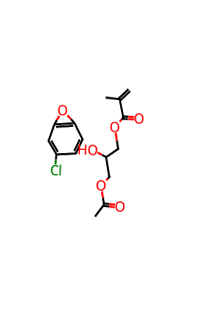 C=C(C)C(=O)OCC(O)COC(C)=O.Clc1ccc2c(c1)O2